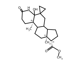 COC(=O)[C@H]1CCC2C3CC4(CC4)C4(O)NC(=O)CC[C@]4(C)C3CC[C@@]21C